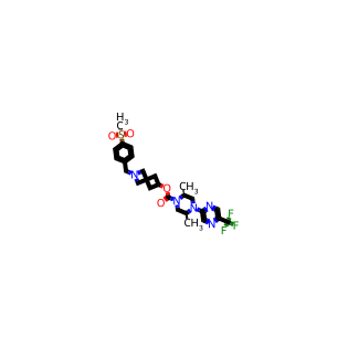 C[C@@H]1CN(c2cnc(C(F)(F)F)cn2)[C@@H](C)CN1C(=O)OC1CC2(C1)CN(Cc1ccc(S(C)(=O)=O)cc1)C2